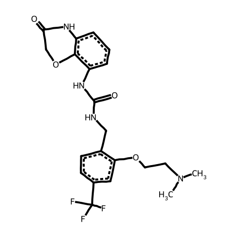 CN(C)CCOc1cc(C(F)(F)F)ccc1CNC(=O)Nc1cccc2c1OCC(=O)N2